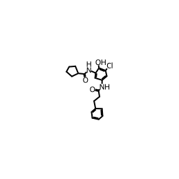 O=C(CCc1ccccc1)Nc1cc(Cl)c(O)c(NC(=O)C2CCCC2)c1